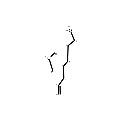 C=CCCCCCO.COC